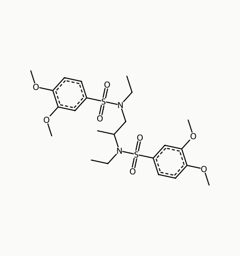 CCN(CC(C)N(CC)S(=O)(=O)c1ccc(OC)c(OC)c1)S(=O)(=O)c1ccc(OC)c(OC)c1